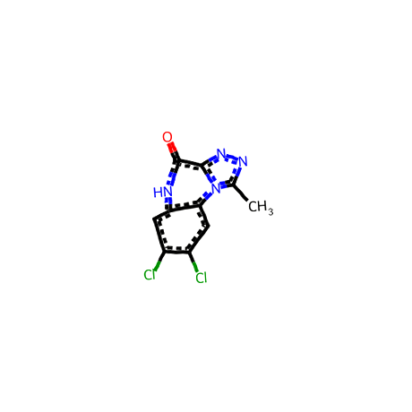 Cc1nnc2c(=O)[nH]c3cc(Cl)c(Cl)cc3n12